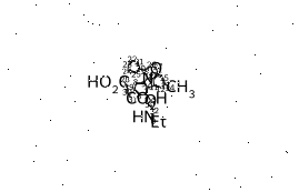 CCNCCOc1cccc2c1c1cc(C)cc3c1n2C(c1ccccc1)CO3.O=C(O)C=CC(=O)O